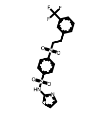 O=S(=O)(CCc1cccc(C(F)(F)F)c1)c1ccc(S(=O)(=O)Nc2nccs2)cc1